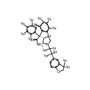 [2H]c1c([2H])c([2H])c(C(C(N)=O)(c2c([2H])c([2H])c([2H])c([2H])c2[2H])[C@@H]2CCN(C([2H])([2H])C([2H])([2H])c3ccc4c(c3)C([2H])([2H])CO4)C2)c([2H])c1[2H]